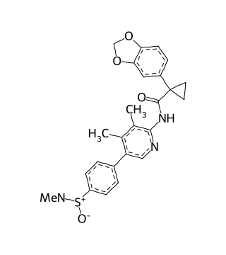 CN[S+]([O-])c1ccc(-c2cnc(NC(=O)C3(c4ccc5c(c4)OCO5)CC3)c(C)c2C)cc1